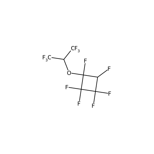 FC1C(F)(F)C(F)(F)C1(F)OC(C(F)(F)F)C(F)(F)F